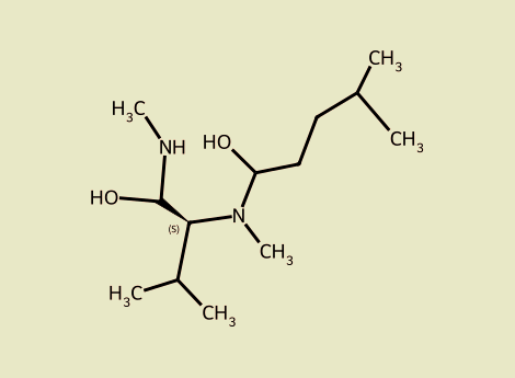 CNC(O)[C@H](C(C)C)N(C)C(O)CCC(C)C